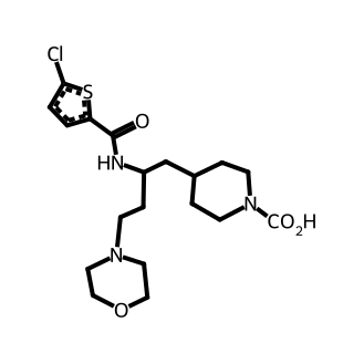 O=C(NC(CCN1CCOCC1)CC1CCN(C(=O)O)CC1)c1ccc(Cl)s1